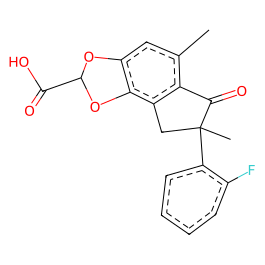 Cc1cc2c(c3c1C(=O)C(C)(c1ccccc1F)C3)OC(C(=O)O)O2